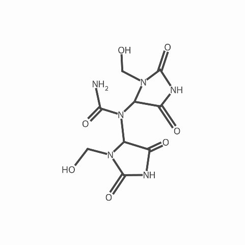 NC(=O)N(C1C(=O)NC(=O)N1CO)C1C(=O)NC(=O)N1CO